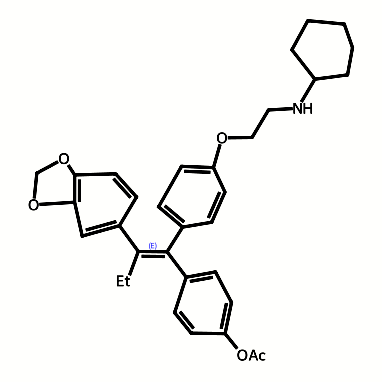 CC/C(=C(/c1ccc(OCCNC2CCCCC2)cc1)c1ccc(OC(C)=O)cc1)c1ccc2c(c1)OCO2